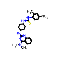 Cc1cc([N+](=O)[O-])ccc1NC(=S)N[C@H]1CC[C@@H](Nc2nc(N(C)C)c3ccccc3n2)CC1